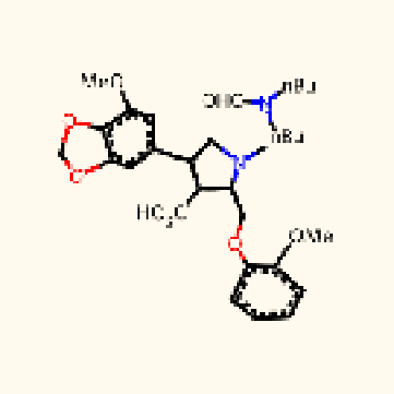 CCCCN(C=O)CCCC.COc1ccccc1OCC1C(C(=O)O)C(c2cc(OC)c3c(c2)OCO3)CN1C